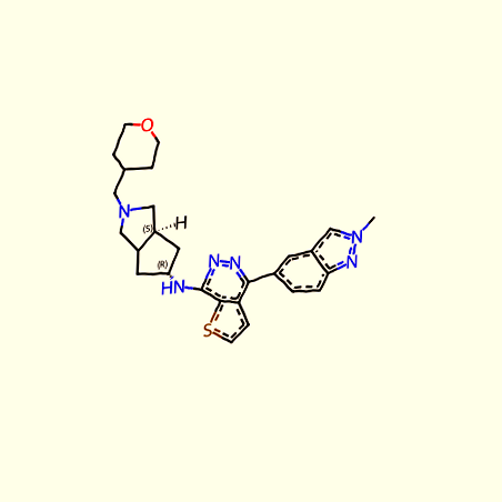 Cn1cc2cc(-c3nnc(N[C@@H]4CC5CN(CC6CCOCC6)C[C@H]5C4)c4sccc34)ccc2n1